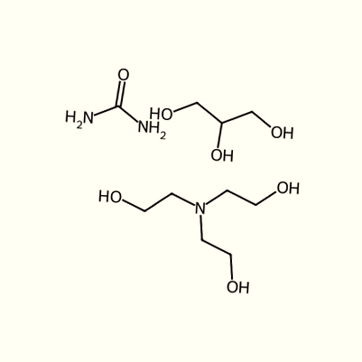 NC(N)=O.OCC(O)CO.OCCN(CCO)CCO